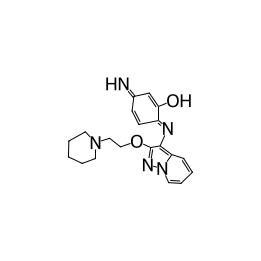 N=C1C=C/C(=N\c2c(OCCN3CCCCC3)nn3ccccc23)C(O)=C1